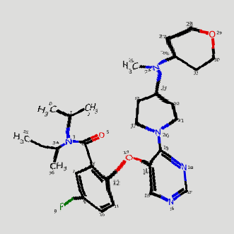 CC(C)N(C(=O)c1cc(F)ccc1Oc1cncnc1N1CCC(N(C)C2CCOCC2)CC1)C(C)C